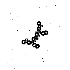 c1ccc2cc(N(c3ccc4c(c3)oc3ccccc34)c3ccc4c(n3)sc3nc(N(c5ccc6ccccc6c5)c5ccc6c(c5)oc5ccccc56)ncc34)ccc2c1